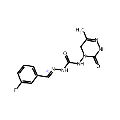 CC1=NNC(=O)N(NC(=O)N/N=C/c2cccc(F)c2)C1